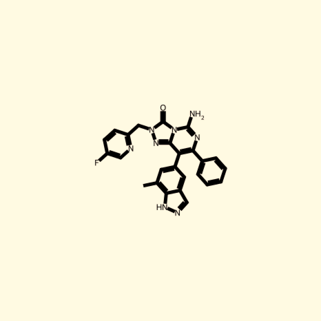 Cc1cc(-c2c(-c3ccccc3)nc(N)n3c(=O)n(Cc4ccc(F)cn4)nc23)cc2cn[nH]c12